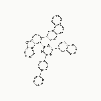 c1ccc(-c2ccc(-c3nc(-c4ccc5ccccc5c4)nc(-c4c(-c5ccc6ccc7ccccc7c6c5)ccc5oc6ccccc6c45)n3)cc2)cc1